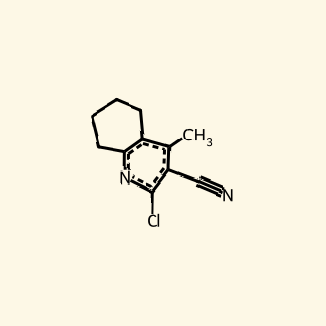 Cc1c(C#N)c(Cl)nc2c1CCCC2